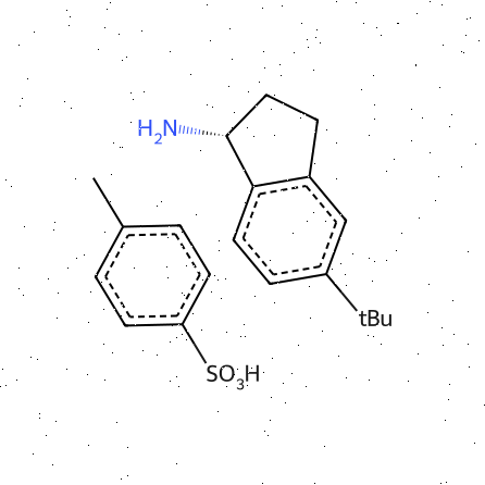 CC(C)(C)c1ccc2c(c1)CC[C@H]2N.Cc1ccc(S(=O)(=O)O)cc1